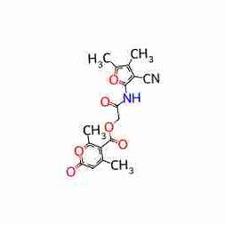 Cc1cc(=O)oc(C)c1C(=O)OCC(=O)Nc1oc(C)c(C)c1C#N